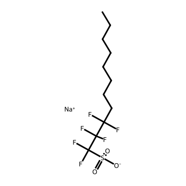 CCCCCCCCC(F)(F)C(F)(F)C(F)(F)S(=O)(=O)[O-].[Na+]